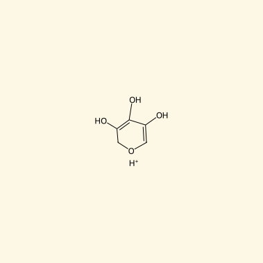 OC1=COCC(O)=C1O.[H+]